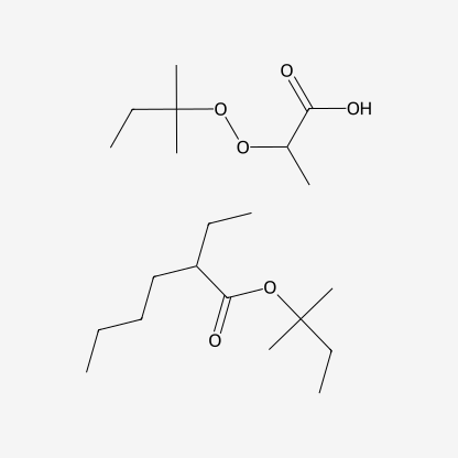 CCC(C)(C)OOC(C)C(=O)O.CCCCC(CC)C(=O)OC(C)(C)CC